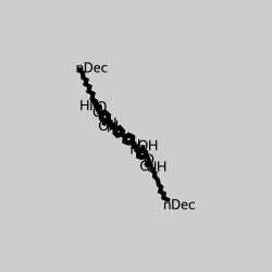 CCCCCCCCCCCCCCCCCCCCNC(=O)Oc1ccc(/N=N/c2ccc(-c3ccc(/N=N/c4ccc(OC(=O)NCCCCCCCCCCCCCCCCCCCC)cc4O)cc3)cc2)c(O)c1